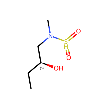 CC[C@H](O)CN(C)[SH](=O)=O